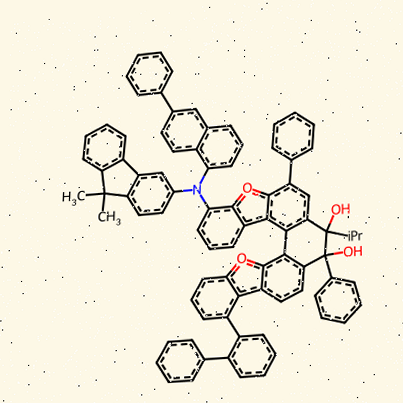 CC(C)C1(O)c2cc(-c3ccccc3)c3oc4c(N(c5ccc6c(c5)-c5ccccc5C6(C)C)c5cccc6cc(-c7ccccc7)ccc56)cccc4c3c2-c2c(ccc3c2oc2cccc(-c4ccccc4-c4ccccc4)c23)C1(O)c1ccccc1